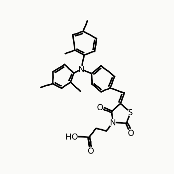 Cc1ccc(N(c2ccc(/C=C3/SC(=O)N(CCC(=O)O)C3=O)cc2)c2ccc(C)cc2C)c(C)c1